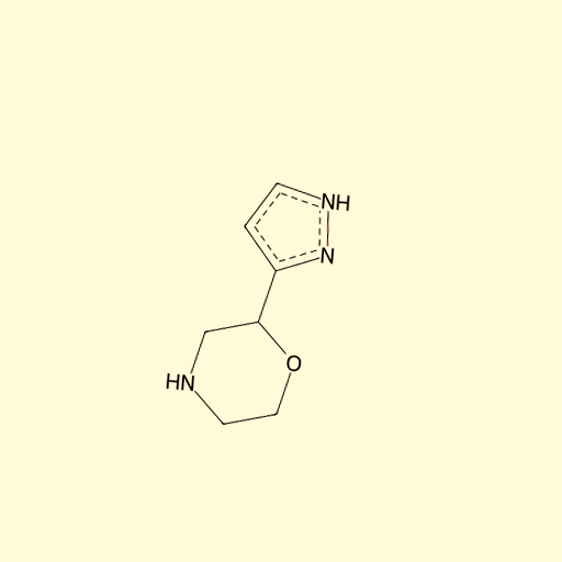 c1cc(C2CNCCO2)n[nH]1